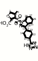 Cc1csc(C(=O)O)c1S(=O)(=O)n1nc(-c2ccc(-c3nnn[nH]3)cc2)c2ccccc21